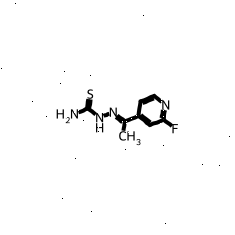 C/C(=N\NC(N)=S)c1ccnc(F)c1